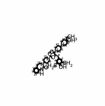 Bc1cc(C[C@@H](OC(=O)N2CCC(N3CCc4ccccc4NC3=O)CC2)C(=O)N2CCC(N3CCC(O)(CC)CC3)CC2)cc(B)c1O